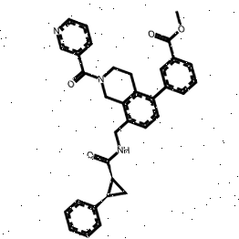 COC(=O)c1cccc(-c2ccc(CNC(=O)[C@H]3C[C@H]3c3ccccc3)c3c2CCN(C(=O)c2cccnc2)C3)c1